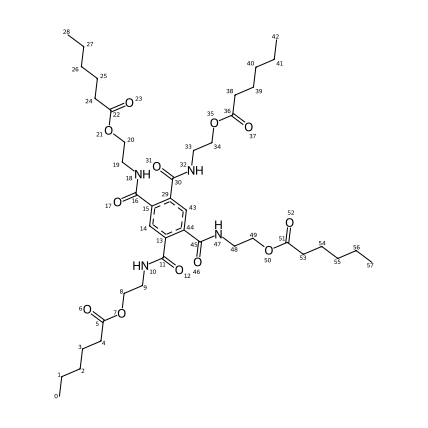 CCCCCC(=O)OCCNC(=O)c1cc(C(=O)NCCOC(=O)CCCCC)c(C(=O)NCCOC(=O)CCCCC)cc1C(=O)NCCOC(=O)CCCCC